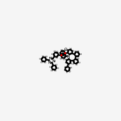 c1ccc(-c2ccc3c(c2)c2ccccc2c2ccccc2c2ccc4oc5ccccc5c4c2n3-c2ccc(-c3cccc(-c4nc(-c5ccccc5)nc(-c5ccccc5)n4)c3)cc2)cc1